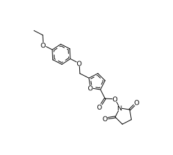 CCOc1ccc(OCc2ccc(C(=O)ON3C(=O)CCC3=O)o2)cc1